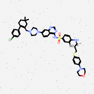 C[C@H](CCSc1ccc(N2CCOCC2)cc1)Nc1ccc(S(=O)(=O)Nc2ncnc3cc(N4CCN(CC5=C(c6ccc(Cl)cc6)CCC(C)(C)C5)CC4)ccc23)cc1[N+](=O)[O-]